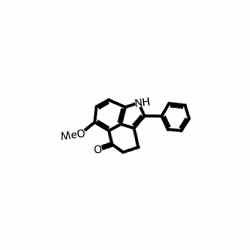 COc1ccc2[nH]c(-c3ccccc3)c3c2c1C(=O)CC3